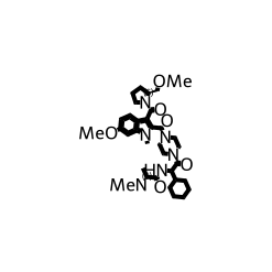 CN[C@@H](C)C(=O)NC(C(=O)N1CCN(C(=O)c2c(C(=O)N3CCC[C@H]3COC)c3ccc(OC)cc3n2C)CC1)C1CCCCC1